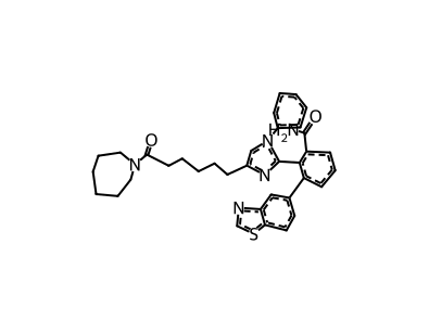 NC(=O)c1cccc(-c2ccc3scnc3c2)c1-c1nc(CCCCCC(=O)N2CCCCCC2)cn1-c1ccccc1